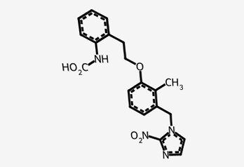 Cc1c(Cn2ccnc2[N+](=O)[O-])cccc1OCCc1ccccc1NC(=O)O